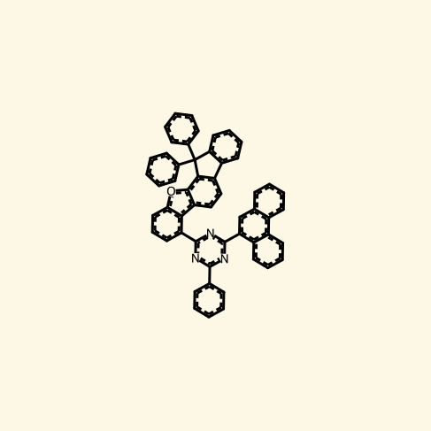 c1ccc(-c2nc(-c3cc4ccccc4c4ccccc34)nc(-c3cccc4oc5c6c(ccc5c34)-c3ccccc3C6(c3ccccc3)c3ccccc3)n2)cc1